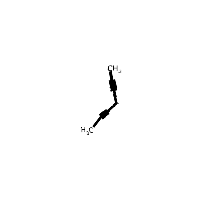 CC#C[CH]C#CC